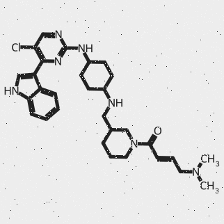 CN(C)CC=CC(=O)N1CCCC(CNC2CCC(Nc3ncc(Cl)c(-c4c[nH]c5ccccc45)n3)CC2)C1